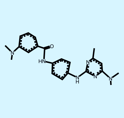 Cc1cc(N(C)C)nc(Nc2ccc(NC(=O)c3cccc(N(C)C)c3)cc2)n1